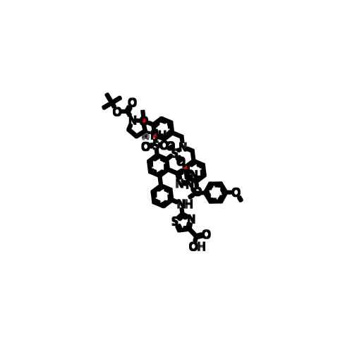 COc1ccc(CN(Cc2ccc(OC)cc2)S(=O)(=O)c2c(S(=O)(=O)N[C@@H]3CCN(C(=O)OC(C)(C)C)C3)ccc(-c3cccc(Nc4nc(C(=O)O)cs4)c3)c2-c2nnn(Cc3ccc(OC)cc3)n2)cc1